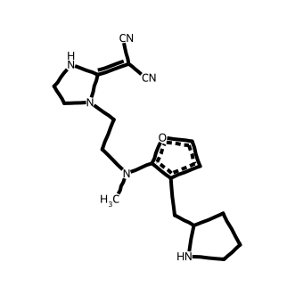 CN(CCN1CCNC1=C(C#N)C#N)c1occc1CC1CCCN1